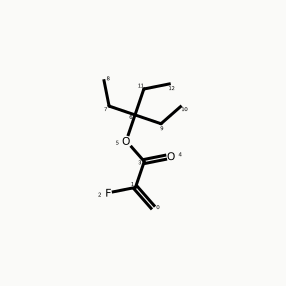 C=C(F)C(=O)OC(CC)(CC)CC